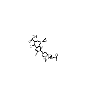 CC(=O)NC[C@H]1CN(c2nc3c(cc2F)c(=O)c(C(=O)O)cn3C2CC2)C[C@H]1F